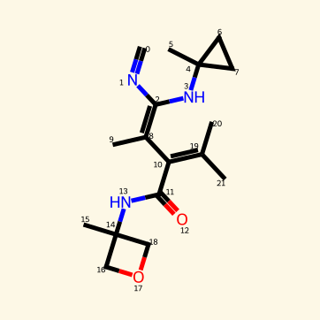 C=N/C(NC1(C)CC1)=C(\C)C(C(=O)NC1(C)COC1)=C(C)C